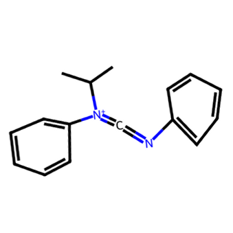 CC(C)[N+](=C=Nc1ccccc1)c1ccccc1